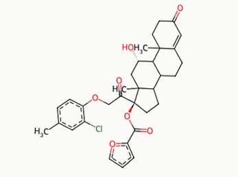 Cc1ccc(OCC(=O)[C@@]2(OC(=O)c3ccco3)CCC3C4CCC5=CC(=O)CCC5(C)C4[C@@H](O)CC32C)c(Cl)c1